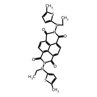 CCN(c1ccc(C)s1)N1C(=O)c2ccc3c4c(ccc(c24)C1=O)C(=O)N(N(CC)c1ccc(C)s1)C3=O